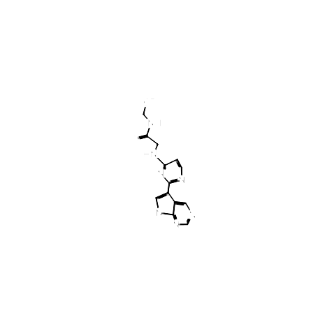 O=C(CNc1ccnc(-c2c[nH]c3ncncc23)n1)NCC(F)(F)F